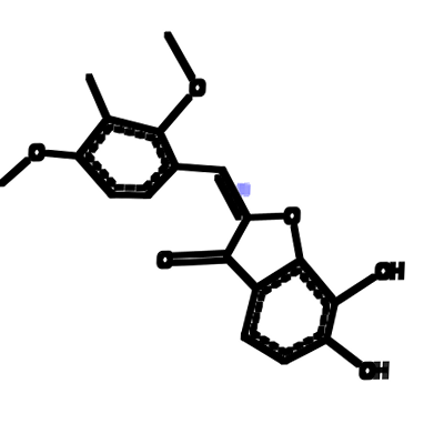 COc1ccc(/C=C2/Oc3c(ccc(O)c3O)C2=O)c(OC)c1C